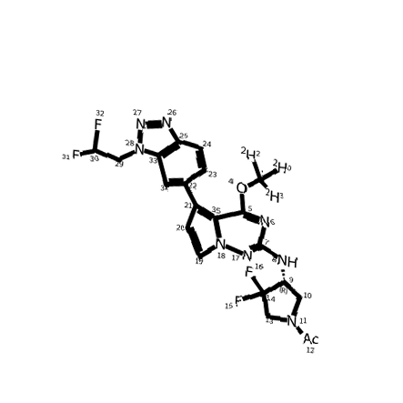 [2H]C([2H])([2H])Oc1nc(N[C@@H]2CN(C(C)=O)CC2(F)F)nn2ccc(-c3ccc4nnn(CC(F)F)c4c3)c12